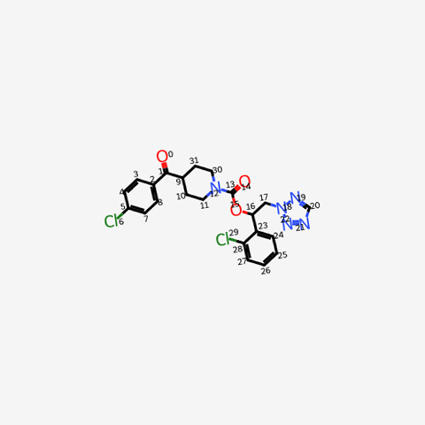 O=C(c1ccc(Cl)cc1)C1CCN(C(=O)OC(Cn2ncnn2)c2ccccc2Cl)CC1